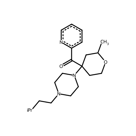 CC(C)CCN1CCN(C2(C(=O)c3ccccn3)CCOC(C)C2)CC1